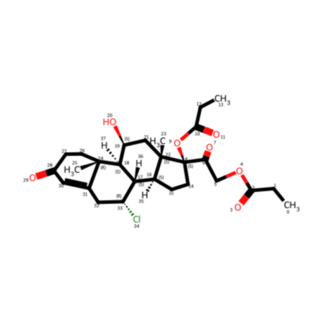 CCC(=O)OCC(=O)[C@]1(OC(=O)CC)CC[C@H]2[C@H]3[C@H]([C@@H](O)C[C@@]21C)[C@@]1(C)CCC(=O)C=C1C[C@H]3Cl